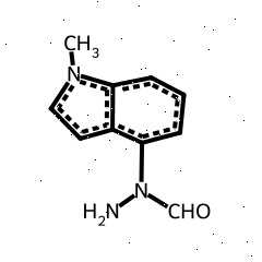 Cn1ccc2c(N(N)C=O)cccc21